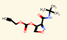 C#CCOC(=O)Oc1conc1C(=O)NC(C)(C)C